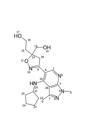 Cc1nn(C)c2ncc(C3=NOC(CO)(CCO)C3)c(NC3CCCC3)c12